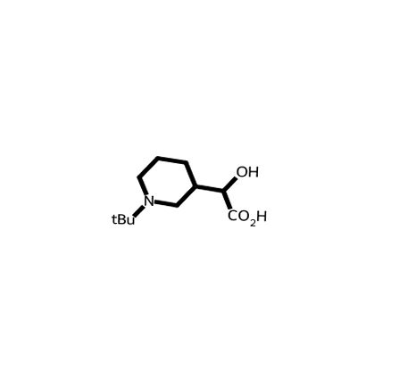 CC(C)(C)N1CCCC(C(O)C(=O)O)C1